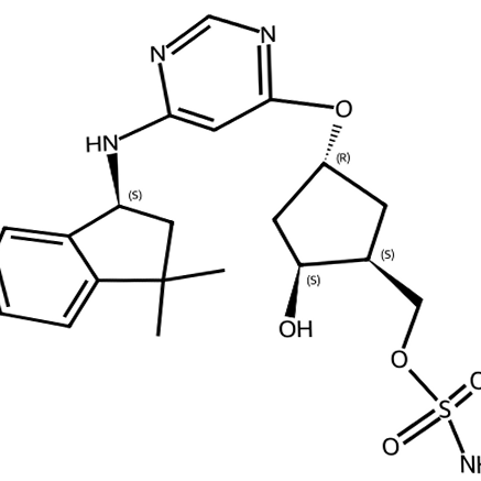 CC1(C)C[C@H](Nc2cc(O[C@@H]3C[C@@H](COS(N)(=O)=O)[C@@H](O)C3)ncn2)c2ccccc21